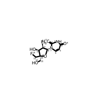 C=C1NC(=O)C=CN1[C@@H]1O[C@@](CO)(CF)[C@@H](O)[C@H]1F